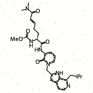 COC(=O)N[C@@H](CC/C=C/C(=O)N(C)C)C(=O)Nc1cccn(Cc2cc3ccnc(CC(C)C)c3[nH]2)c1=O